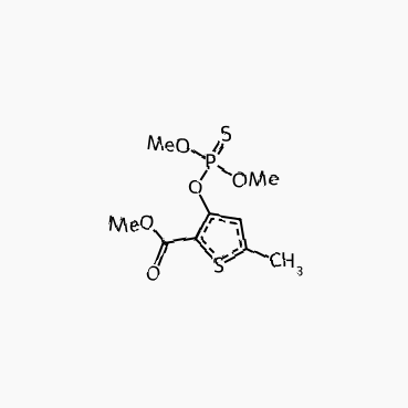 COC(=O)c1sc(C)cc1OP(=S)(OC)OC